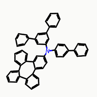 c1ccc(-c2ccc(N(c3cc(-c4ccccc4)cc(-c4ccccc4)c3)c3ccc4c(c3)-c3ccccc3-c3ccccc3-c3ccccc3-4)cc2)cc1